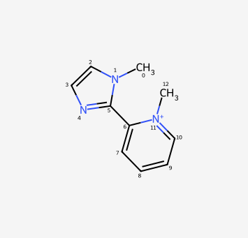 Cn1ccnc1-c1cccc[n+]1C